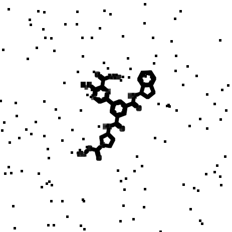 CNC(=O)c1nc(-c2cc(C(=O)NC3CCN(C(=O)OC(C)(C)C)C3)cc(C(=O)N[C@@H]3CCc4ccccc43)c2)cnc1N